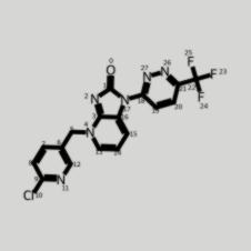 O=c1nc2n(Cc3ccc(Cl)nc3)cccc-2n1-c1ccc(C(F)(F)F)nn1